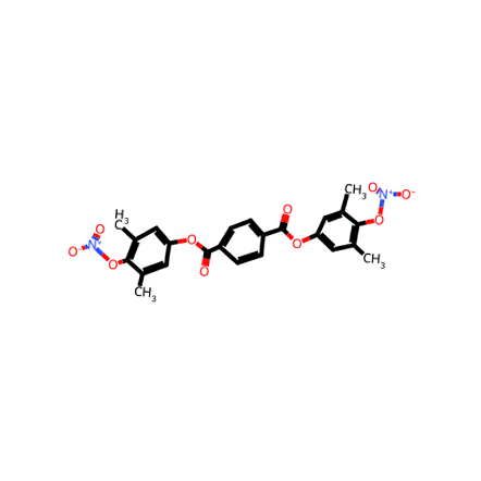 Cc1cc(OC(=O)c2ccc(C(=O)Oc3cc(C)c(O[N+](=O)[O-])c(C)c3)cc2)cc(C)c1O[N+](=O)[O-]